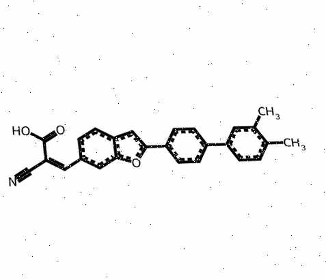 Cc1ccc(-c2ccc(-c3cc4ccc(C=C(C#N)C(=O)O)cc4o3)cc2)cc1C